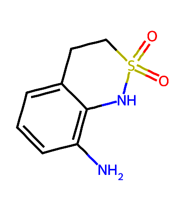 Nc1cccc2c1NS(=O)(=O)CC2